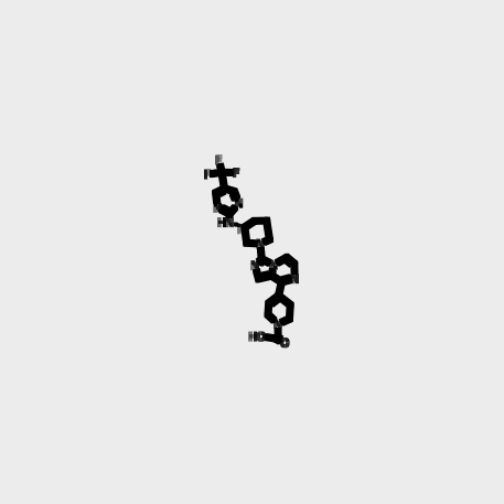 O=C(O)N1CC=C(c2nccn3c(N4CCC[C@@H](Nc5ncc(C(F)(F)F)cn5)C4)ncc23)CC1